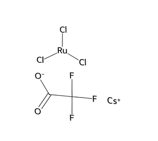 O=C([O-])C(F)(F)F.[Cl][Ru]([Cl])[Cl].[Cs+]